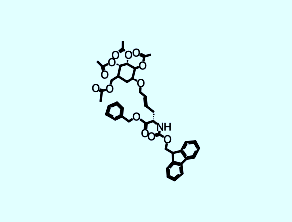 CC(=O)OCC1C[C@H](OCC=CC[C@H](NC(=O)OCC2c3ccccc3-c3ccccc32)C(=O)OCc2ccccc2)C(OC(C)=O)[C@@H](OC(C)=O)[C@H]1OC(C)=O